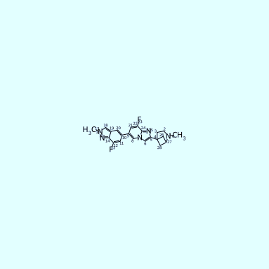 CN1CCC2(c3cn4cc(-c5cc(F)c6nn(C)cc6c5)cc(F)c4n3)CC1C2